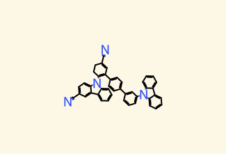 N#CC1=CC(c2ccc(-c3cccc(-n4c5ccccc5c5ccccc54)c3)cc2)=C(n2c3ccccc3c3cc(C#N)ccc32)CC1